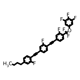 CCCCc1ccc(C#Cc2ccc(C#Cc3ccc(C(F)(F)Oc4cc(F)c(F)c(F)c4)c(F)c3)c(F)c2)c(F)c1